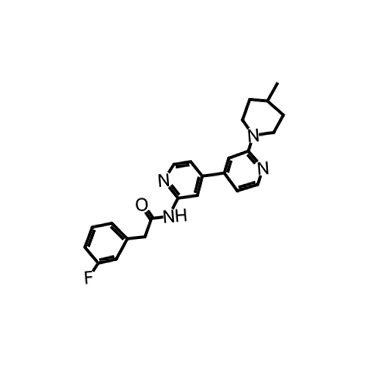 CC1CCN(c2cc(-c3ccnc(NC(=O)Cc4cccc(F)c4)c3)ccn2)CC1